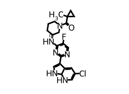 CC1(C(=O)N2CCC[C@H](Nc3nc(C4=CNC5NC=C(Cl)C=C45)ncc3F)C2)CC1